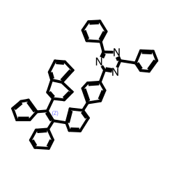 c1ccc(/C(=C(\c2ccccc2)c2ccc3ccccc3c2)c2cccc(-c3ccc(-c4nc(-c5ccccc5)nc(-c5ccccc5)n4)cc3)c2)cc1